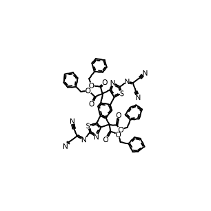 N#CC(C#N)=Nc1nc2c(s1)-c1cc3c(cc1C2(C(=O)OCc1ccccc1)C(=O)OCc1ccccc1)-c1sc(N=C(C#N)C#N)nc1C3(C(=O)OCc1ccccc1)C(=O)OCc1ccccc1